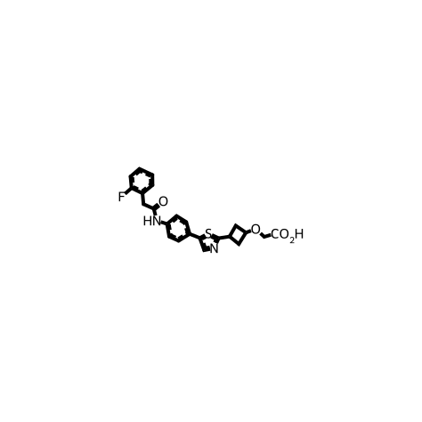 O=C(O)COC1CC(c2ncc(-c3ccc(NC(=O)Cc4ccccc4F)cc3)s2)C1